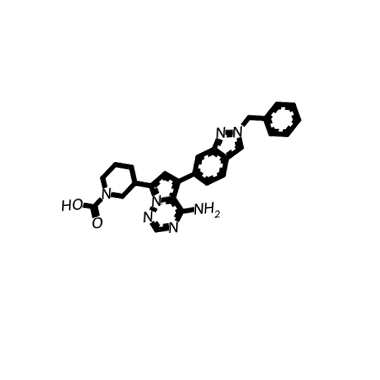 Nc1ncnn2c(C3CCCN(C(=O)O)C3)cc(-c3ccc4cn(Cc5ccccc5)nc4c3)c12